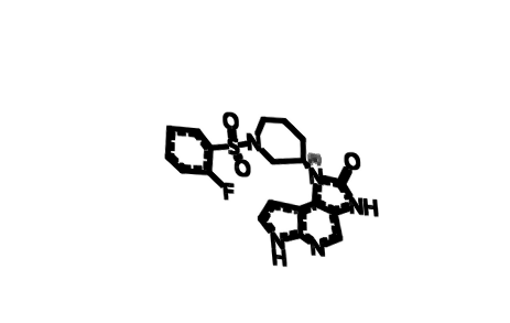 O=c1[nH]c2cnc3[nH]ccc3c2n1[C@@H]1CCCN(S(=O)(=O)c2ccccc2F)C1